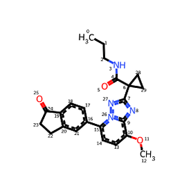 CCCNC(=O)C1(c2nc3c(OC)ccc(-c4ccc5c(c4)CCC5=O)n3n2)CC1